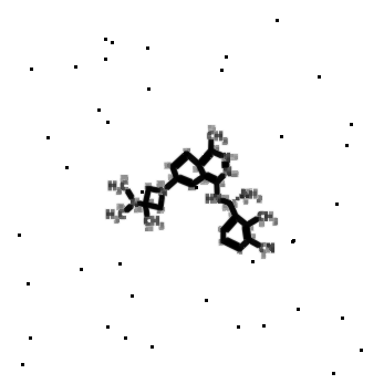 Cc1c(C#N)cccc1[C@@H](N)Nc1nnc(C)c2ccc(N3CC(C)(N(C)C)C3)cc12